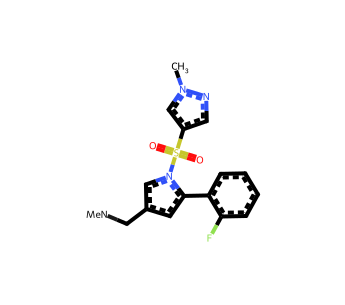 CNCc1cc(-c2ccccc2F)n(S(=O)(=O)c2cnn(C)c2)c1